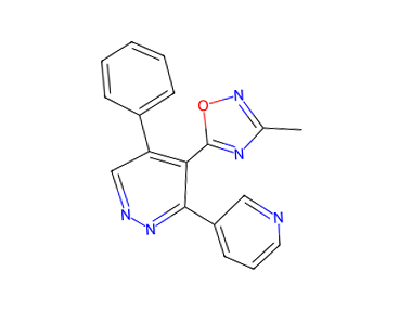 Cc1noc(-c2c(-c3ccccc3)cnnc2-c2cccnc2)n1